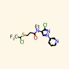 CCN(C(=O)CCSC(Cl)C(F)(F)F)c1cn(-c2cccnc2)nc1Cl